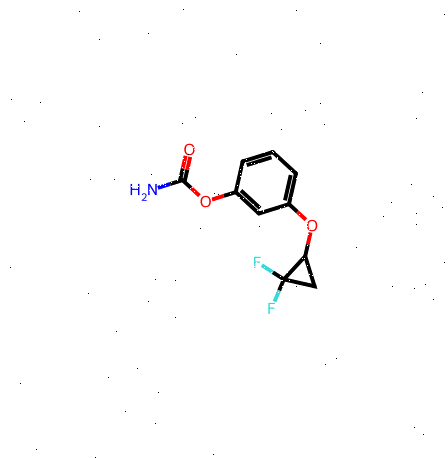 NC(=O)Oc1cccc(OC2CC2(F)F)c1